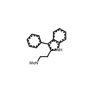 CNCCc1[nH]c2ccccc2c1-c1ccccc1